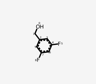 OCc1cc(F)[c]c(F)c1